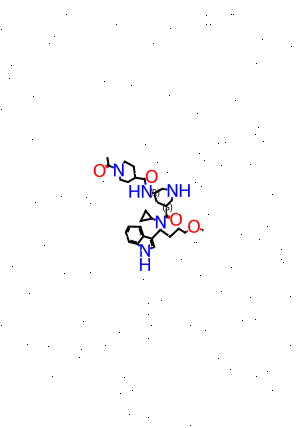 COCCCC(c1c[nH]c2ccccc12)N(C(=O)[C@@H]1CNC[C@H](NC(=O)C2CCN(C(C)=O)CC2)C1)C1CC1